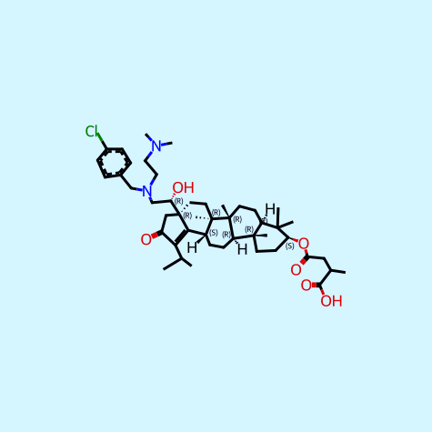 CC(C)C1=C2[C@H]3CC[C@@H]4[C@@]5(C)CC[C@H](OC(=O)CC(C)C(=O)O)C(C)(C)[C@@H]5CC[C@@]4(C)[C@]3(C)CC[C@@]2([C@@H](O)CN(CCN(C)C)Cc2ccc(Cl)cc2)CC1=O